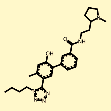 CCCCn1nnnc1-c1cc(-c2cccc(C(=O)NCCC3CCCN3C)c2)c(O)cc1C